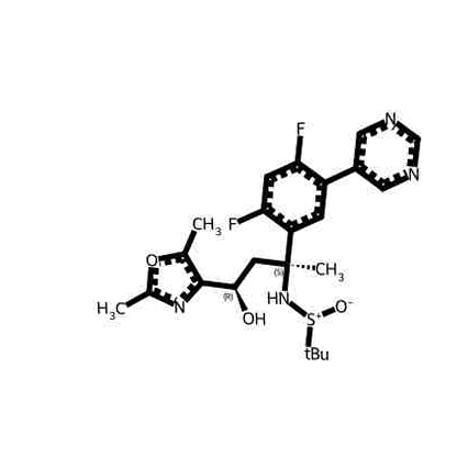 Cc1nc([C@H](O)C[C@](C)(N[S+]([O-])C(C)(C)C)c2cc(-c3cncnc3)c(F)cc2F)c(C)o1